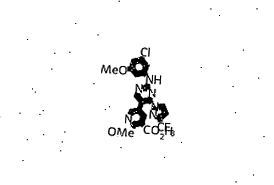 COc1cc(Cl)cc(Nc2ncc(-c3cnc(OC)c(C(=O)O)c3)c(-n3ccc(C(F)(F)F)n3)n2)c1